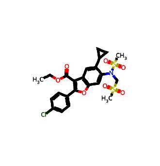 CCOC(=O)c1c(-c2ccc(Cl)cc2)oc2cc(N(CS(C)(=O)=O)S(C)(=O)=O)c(C3CC3)cc12